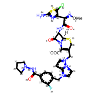 CO/N=C(\C(=O)N[C@@H]1C(=O)N2C(C(=O)[O-])=C(C[n+]3ccc4n(Cc5ccc(C(=O)NN6CCCC6)cc5F)ccn43)CS[C@H]12)c1nc(N)sc1Cl